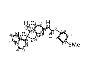 CSc1ccc(CC(=O)Nc2cc(C)c3c(n2)CCC(C)(c2nccn4ccnc24)C3=O)cc1